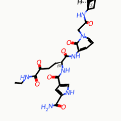 CCNC(=O)C(=O)CC[C@H](NC(=O)c1c[nH]c(C(N)=O)c1)C(=O)Nc1cccn(CC(=O)NC23CC(C2)[C@@H]3C)c1=O